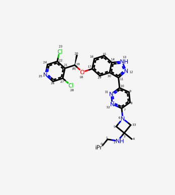 CC(C)CNC1(C)CN(c2ccc(-c3n[nH]c4ccc(O[C@H](C)c5c(Cl)cncc5Cl)cc34)nn2)C1